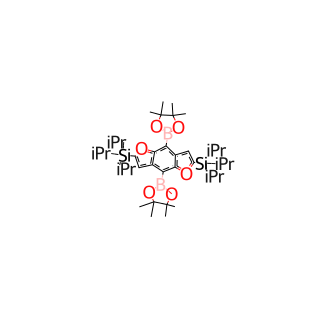 CC(C)[Si](c1cc2c(B3OC(C)(C)C(C)(C)O3)c3oc([Si](C(C)C)(C(C)C)C(C)C)cc3c(B3OC(C)(C)C(C)(C)O3)c2o1)(C(C)C)C(C)C